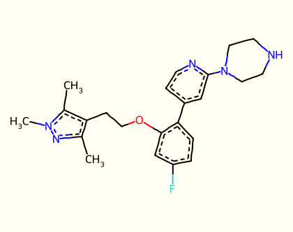 Cc1nn(C)c(C)c1CCOc1cc(F)ccc1-c1ccnc(N2CCNCC2)c1